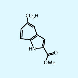 COC(=O)c1cc2cc(C(=O)O)ccc2[nH]1